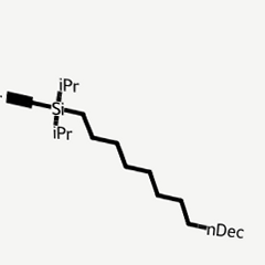 [C]#C[Si](CCCCCCCCCCCCCCCCCC)(C(C)C)C(C)C